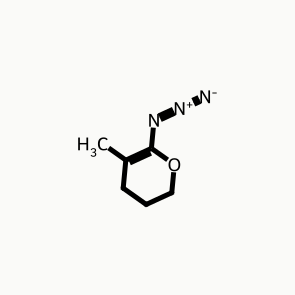 CC1=C(N=[N+]=[N-])OCCC1